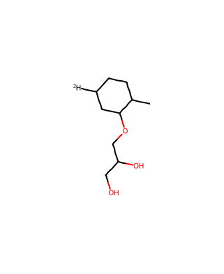 [2H]C1CCC(C)C(OCC(O)CO)C1